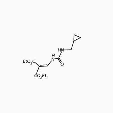 CCOC(=O)C(=CNC(=O)NCC1CC1)C(=O)OCC